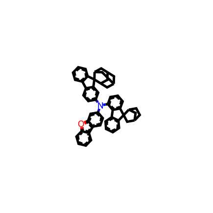 c1ccc2c(c1)-c1c(N(c3ccc4c(c3)C3(c5ccccc5-4)C4CC5CC(C4)CC3C5)c3ccc4c(c3)oc3ccccc34)cccc1C21CC2CCC1C2